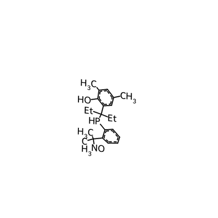 CCC(CC)(Pc1ccccc1C(C)(C)N=O)c1cc(C)cc(C)c1O